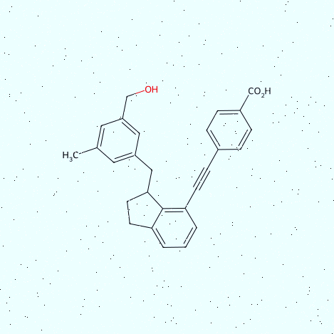 Cc1cc(CO)cc(CC2CCc3cccc(C#Cc4ccc(C(=O)O)cc4)c32)c1